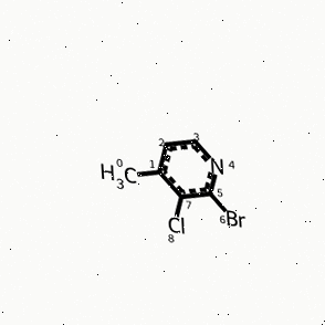 Cc1ccnc(Br)c1Cl